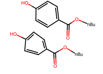 CCCCOC(=O)c1ccc(O)cc1.CCCCOC(=O)c1ccc(O)cc1